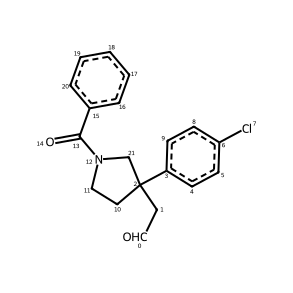 O=CCC1(c2ccc(Cl)cc2)CCN(C(=O)c2ccccc2)C1